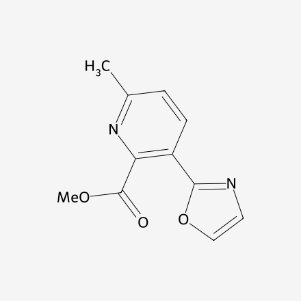 COC(=O)c1nc(C)ccc1-c1ncco1